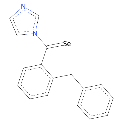 [Se]=C(c1ccccc1Cc1ccccc1)n1ccnc1